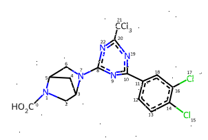 O=C(O)N1CC2CC1CN2c1nc(-c2ccc(Cl)c(Cl)c2)nc(C(Cl)(Cl)Cl)n1